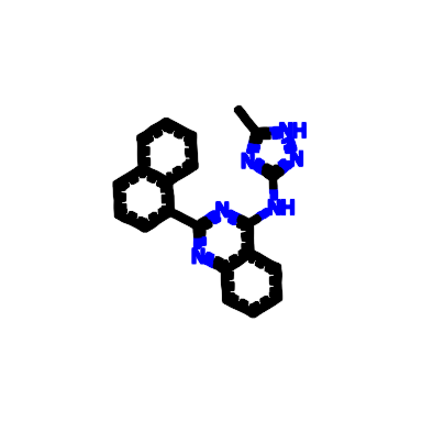 Cc1nc(Nc2nc(-c3cccc4ccccc34)nc3ccccc23)n[nH]1